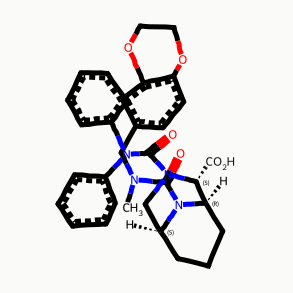 CN(Cc1ccc2c(c1)OCCO2)C(=O)N1[C@H]2CCC[C@@H]1[C@@H](C(=O)O)N(C(=O)N(c1ccccc1)c1ccccc1)C2